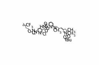 CN(CC/C=C1\CN(C(=O)OC(C)(C)C)C(C)(C)C1)c1cccc(S(=O)(=O)NC(=O)c2ccc(-n3ccc(OCCC4(C(F)(F)F)CC4)n3)nc2Cl)n1